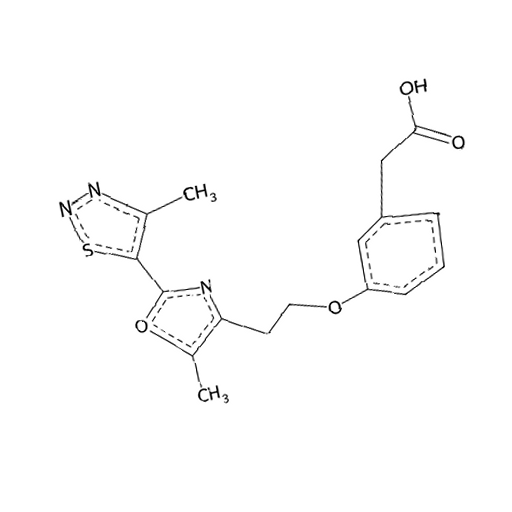 Cc1nnsc1-c1nc(CCOc2cccc(CC(=O)O)c2)c(C)o1